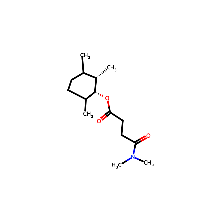 CC1CCC(C)[C@H](C)[C@@H]1OC(=O)CCC(=O)N(C)C